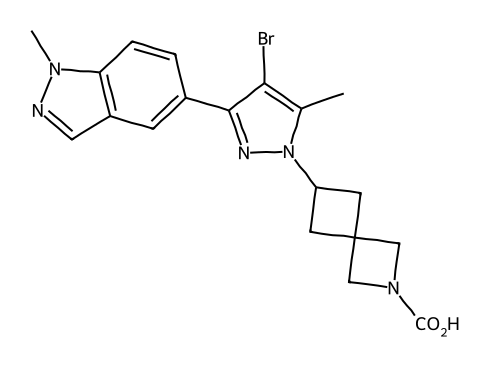 Cc1c(Br)c(-c2ccc3c(cnn3C)c2)nn1C1CC2(C1)CN(C(=O)O)C2